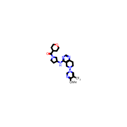 COC1=NCN(N2CCc3ncnc(NC4CCN(C(=O)C5CCOCC5)C4)c3C2)C=C1C(F)(F)F